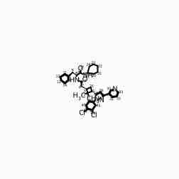 CC1(C)[C@@H](CC(=O)N[C@@H](Cc2ccccc2)C(=O)NC2CCCCC2)C[C@@H]1c1cc(-c2cccnc2)nn1-c1ccc(Cl)c(Cl)c1